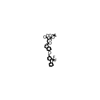 COC(=O)C(CC(=O)N1CCc2cc(OCc3ccc(-c4ccccc4)c(C(F)(F)F)c3)ccc21)N(C)C(=O)OC(C)(C)C